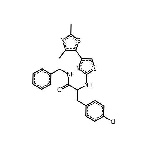 Cc1nc(C)c(-c2csc(NC(Cc3ccc(Cl)cc3)C(=O)NCc3ccccc3)n2)s1